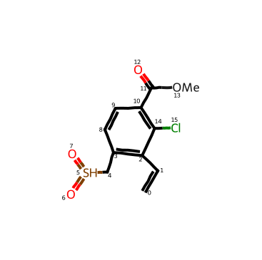 C=Cc1c(C[SH](=O)=O)ccc(C(=O)OC)c1Cl